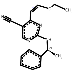 CCO/C=C\c1nc(N[C@@H](C)c2ccccc2)ncc1C#N